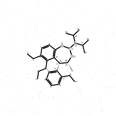 CCCc1c(CC)ccc2c1[C@@H](c1ccccc1CC)[C@@H](C)OP(N(C(C)C)C(C)C)O2